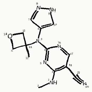 CNc1nc(N(c2cn[nH]c2)C2(C)COC2)ncc1C#N